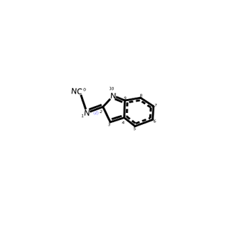 N#C/N=C1/C=c2ccccc2=N1